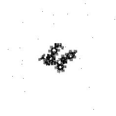 CC(C)c1cnc2c(NCc3ccccc3-n3ccc(N4CCN(C)CC4)n3)nc(N3CCC(N)CC3)nn12